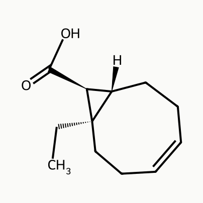 CC[C@@]12CC/C=C\CC[C@H]1[C@@H]2C(=O)O